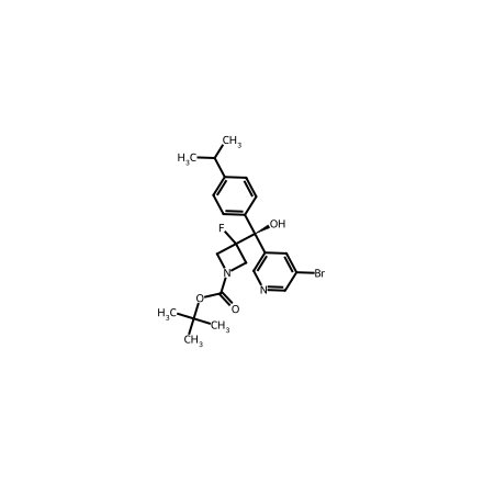 CC(C)c1ccc([C@](O)(c2cncc(Br)c2)C2(F)CN(C(=O)OC(C)(C)C)C2)cc1